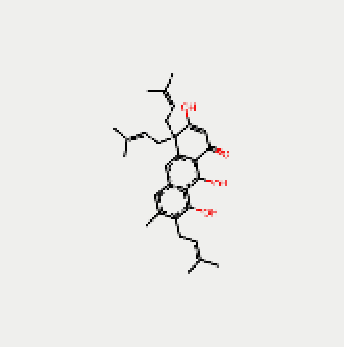 CC(C)=CCc1c(C)cc2cc3c(c(O)c2c1O)C(=O)C=C(O)C3(CC=C(C)C)CC=C(C)C